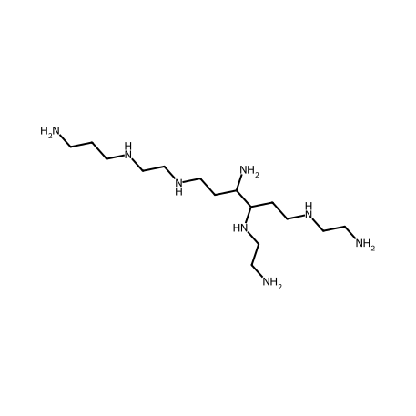 NCCCNCCNCCC(N)C(CCNCCN)NCCN